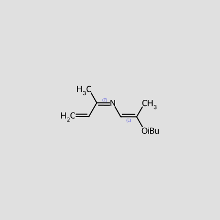 C=C/C(C)=N\C=C(/C)OCC(C)C